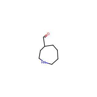 O=CC1CCCCNCC1